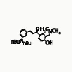 CCCCN(CCCC)c1cccc(C=CC(=O)c2ccc(O)c(CN(C)C)c2)c1